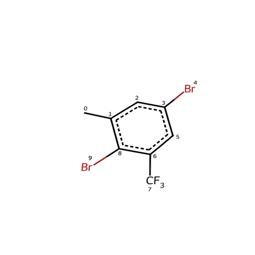 Cc1cc(Br)cc(C(F)(F)F)c1Br